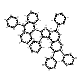 c1ccc(-c2cc3cc(-c4ccccc4)n4nc(-c5c6ccccc6c(-c6ccccc6)c6ccccc56)c(-c5ccccc5)c4c3cc2-c2ccccc2)cc1